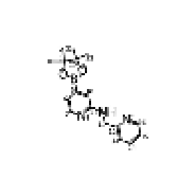 CC1(C)OB(c2ccnc(NCc3ccccn3)c2)OC1(C)C